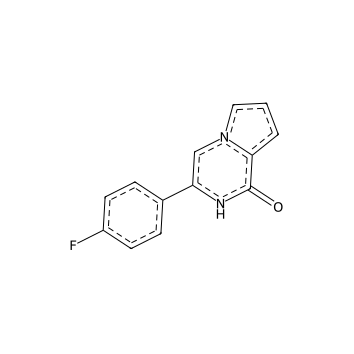 O=c1[nH]c(-c2ccc(F)cc2)cn2cccc12